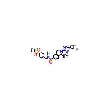 CCS(=O)(=O)c1ccc(CNC(=O)c2ccc3c(c2)CCN(c2ncc(C(F)(F)F)cn2)C3C(C)C)cc1